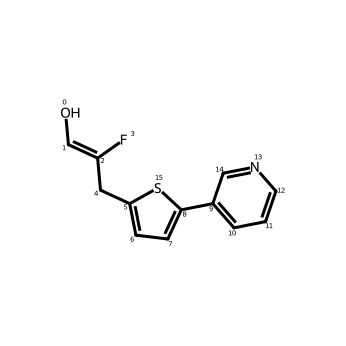 O/C=C(\F)Cc1ccc(-c2cccnc2)s1